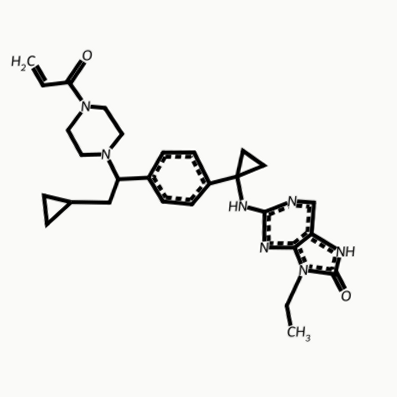 C=CC(=O)N1CCN(C(CC2CC2)c2ccc(C3(Nc4ncc5[nH]c(=O)n(CC)c5n4)CC3)cc2)CC1